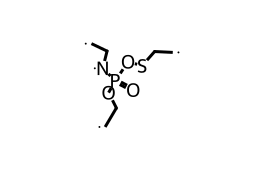 [CH2]C[N]P(=O)(OC[CH2])OSC[CH2]